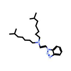 CC(C)CCCCCN(C=Cn1nnc2ccccc21)CCCCCC(C)C